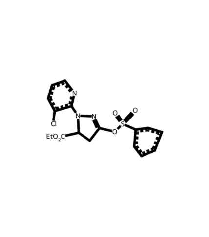 CCOC(=O)C1CC(OS(=O)(=O)c2ccccc2)=NN1c1ncccc1Cl